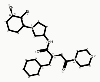 CCC1C(N2CCC(NC(=O)[C@@H](CC(=O)N3CCOCC3)CC3CCCCC3)C2)CCC[C@H]1C#N